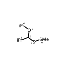 CSSC(OC(C)C)C(C)C